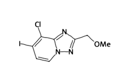 COCc1nc2c(Cl)c(I)ccn2n1